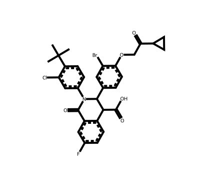 CC(C)(C)c1ccc(N2C(=O)c3cc(F)ccc3C(C(=O)O)C2c2ccc(OCC(=O)C3CC3)c(Br)c2)cc1Cl